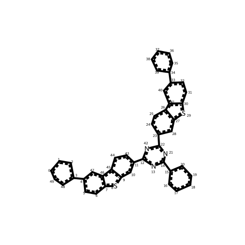 c1ccc(-c2ccc3sc4cc(-c5nc(-c6ccccc6)nc(-c6ccc7c(c6)sc6ccc(-c8ccccc8)cc67)n5)ccc4c3c2)cc1